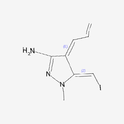 C=C/C=c1/c(N)nn(C)/c1=C\I